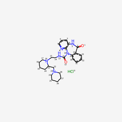 Cl.O=C1Nc2cccnc2N(C(=O)NCCN2CCCCC2CN2CCCCC2)c2ccccc21